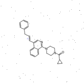 O=C(C1CC1)N1CCN(c2ncc(/C=C/Cc3ccccc3)c3ccccc23)CC1